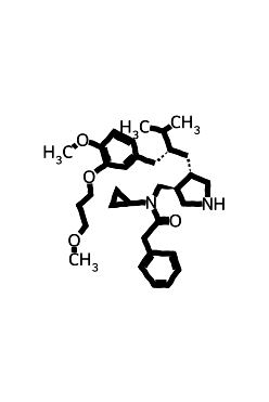 COCCCOc1cc(C[C@@H](C[C@@H]2CNC[C@H]2CN(C(=O)Cc2ccccc2)C2CC2)C(C)C)ccc1OC